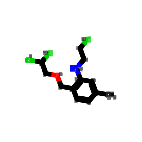 Cc1ccc(COCC(Cl)Cl)c(NCCCl)c1